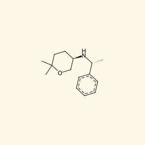 C[C@@H](N[C@@H]1CCC(C)(C)OC1)c1ccccc1